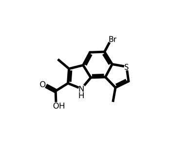 Cc1c(C(=O)O)[nH]c2c1cc(Br)c1scc(C)c12